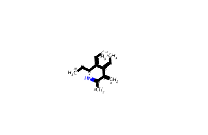 C=C(C(C)=N)C(=C/C)/C(=C\C)CCC